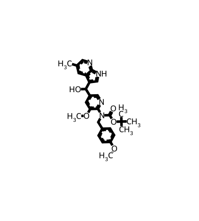 COc1ccc(CN(C(=O)OC(C)(C)C)c2ncc(C(O)c3c[nH]c4ncc(C)cc34)cc2OC)cc1